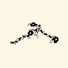 C=C(/N=C(\N=C(/N)Nc1ccc(C(=O)NCCOCCOCCN=[N+]=[N-])cc1)NCCOCCOCCNC(=O)c1ccccc1)NCc1ccc(F)cc1